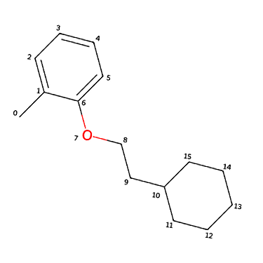 Cc1ccccc1OCCC1CCCCC1